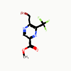 COC(=O)c1cnc(CBr)c(C(F)(F)F)n1